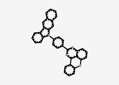 c1ccc2c(c1)Oc1cccc3nc(-c4ccc(-n5c6ccccc6c6cc7ccccc7cc65)cc4)nc-2c13